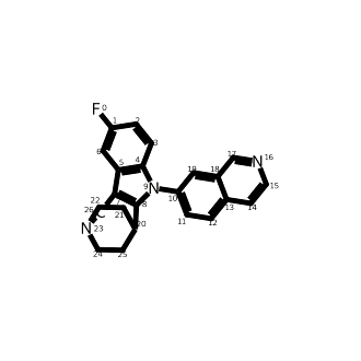 Fc1ccc2c(c1)c1c(n2-c2ccc3ccncc3c2)C2CCN(CC2)C1